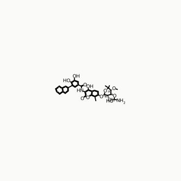 CO[C@@H]1[C@@H](OC(N)O)[C@@H](O)[C@H](Oc2ccc3c(O)c(NC(=O)c4cc(O)c(O)c(-c5ccc6ccccc6c5)c4)c(=O)oc3c2C)OC1(C)C